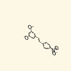 COc1cc(/C=C/c2ccc([N+](=O)[O-])cc2)cc(OC)c1